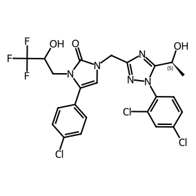 C[C@H](O)c1nc(Cn2cc(-c3ccc(Cl)cc3)n(CC(O)C(F)(F)F)c2=O)nn1-c1ccc(Cl)cc1Cl